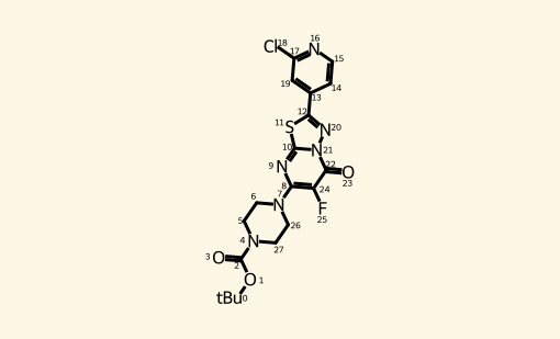 CC(C)(C)OC(=O)N1CCN(c2nc3sc(-c4ccnc(Cl)c4)nn3c(=O)c2F)CC1